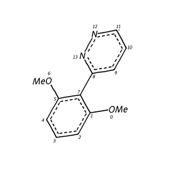 COc1cccc(OC)c1-c1cc[c]nn1